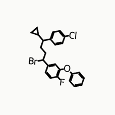 Fc1ccc(C(Br)CCC(c2ccc(Cl)cc2)C2CC2)cc1Oc1ccccc1